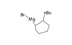 CCCCC1CCCC[CH]1[Mg][Br]